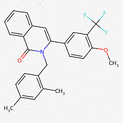 COc1ccc(-c2cc3ccccc3c(=O)n2Cc2ccc(C)cc2C)cc1C(F)(F)F